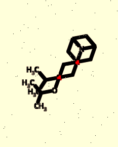 CC(C)OCCN1CC2CC(C1)N2CCOC(C)C